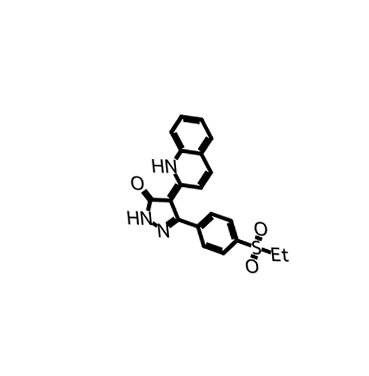 CCS(=O)(=O)c1ccc(C2=NNC(=O)/C2=C2/C=Cc3ccccc3N2)cc1